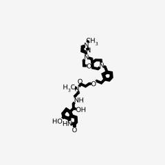 CN(CCNCC(O)c1ccc(O)c2[nH]c(=O)ccc12)C(=O)CCOCCc1cccc(CN2CCC3(CC2)CN(c2ccn(C)n2)CCO3)c1